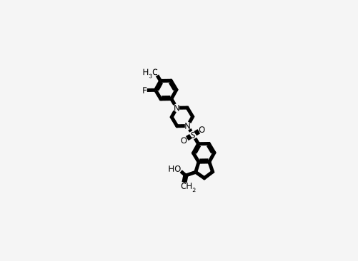 C=C(O)C1CCc2ccc(S(=O)(=O)N3CCN(c4ccc(C)c(F)c4)CC3)cc21